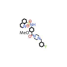 COc1cc(NS(=O)(=O)c2cccc3cccnc23)ccc1C(=O)N1CCN(Cc2cccc(F)c2)CC1